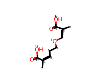 CC(=CCCOC=C(C)C(=O)O)C(=O)O